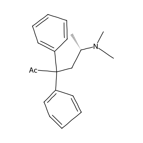 CC(=O)C(C[C@H](C)N(C)C)(c1ccccc1)c1ccccc1